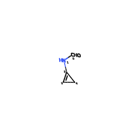 O=CNC1=CC1